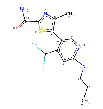 CCCNc1cc(C(F)F)c(-c2sc(C(N)=O)nc2C)cn1